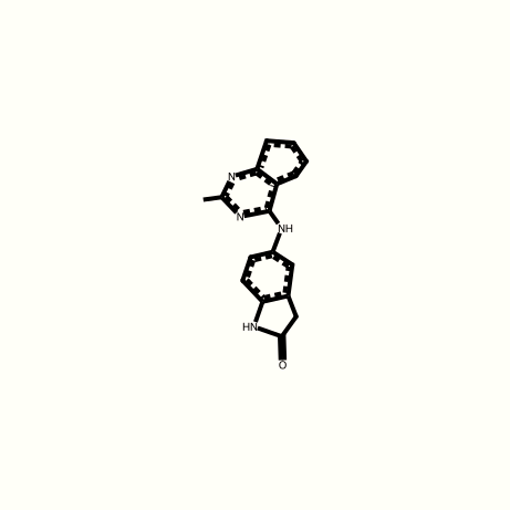 Cc1nc(Nc2ccc3c(c2)CC(=O)N3)c2ccccc2n1